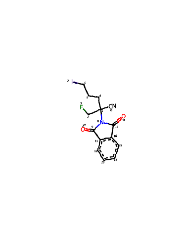 N#CC(CF)(CCCI)N1C(=O)c2ccccc2C1=O